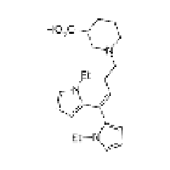 CCn1cccc1C(=CCCN1CCCC(C(=O)O)C1)c1cccn1CC